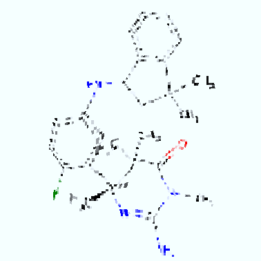 CN1C(=O)C(C)(C)[C@@](C)(c2cc(NC3CC(C)(C)c4ccccc43)ccc2F)N=C1N